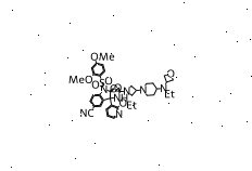 CCOc1ncccc1C1(NC(=O)N2CC(N3CCC(N(CC)C4COC4)CC3)C2)C(=O)N(S(=O)(=O)c2ccc(OC)cc2OC)c2ccc(C#N)cc21